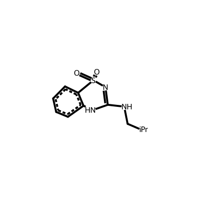 CC(C)CNC1=NS(=O)(=O)c2ccccc2N1